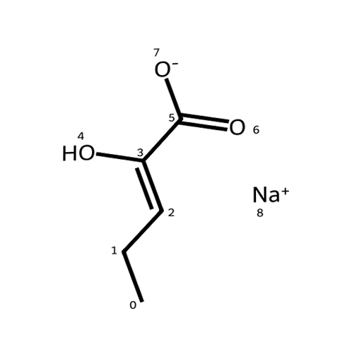 CCC=C(O)C(=O)[O-].[Na+]